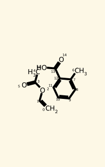 C=COC(C)=O.Cc1ccccc1C(=O)O